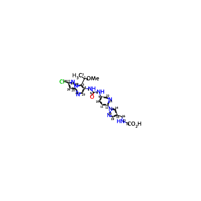 COC(C)c1c(NC(=O)Nc2ccc(-n3cc(CNC(=O)O)cn3)nc2)cnc2cc(Cl)nn12